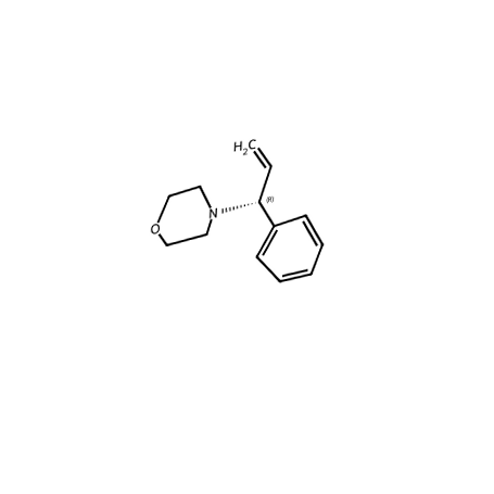 C=C[C@H](c1ccccc1)N1CCOCC1